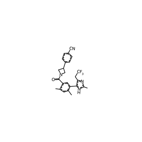 Cc1nc(CC(F)(F)F)c(-c2cc(C(=O)N3CC(c4ccc(C#N)cc4)C3)c(C)cc2C)[nH]1